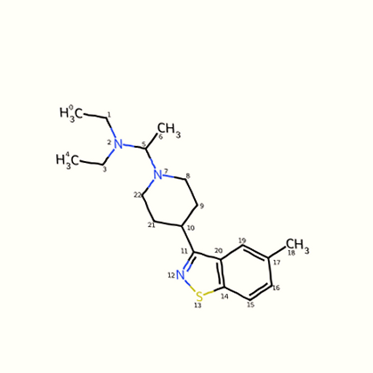 CCN(CC)C(C)N1CCC(c2nsc3ccc(C)cc23)CC1